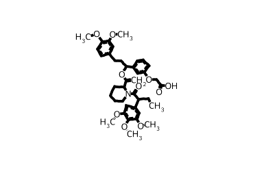 C=C(OC(CCc1ccc(OC)c(OC)c1)c1cccc(OCC(=O)O)c1)C1CCCCN1C(=O)C(CC)c1cc(OC)c(OC)c(OC)c1